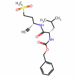 C#C[C@H](CCS(C)(=O)=O)NC(=O)[C@H](CC(C)C)NC(=O)OCc1ccccc1